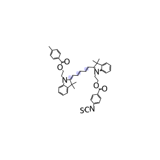 Cc1ccc(C(=O)OCCN2/C(=C/C=C/C=C/C3=[N+](CCOC(=O)c4ccc(N=C=S)cc4)c4ccccc4C3(C)C)C(C)(C)c3ccccc32)cc1